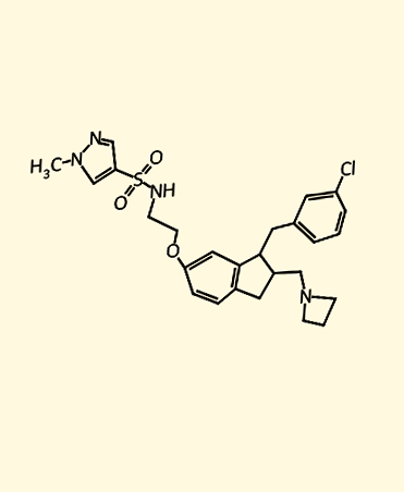 Cn1cc(S(=O)(=O)NCCOc2ccc3c(c2)C(Cc2cccc(Cl)c2)C(CN2CCC2)C3)cn1